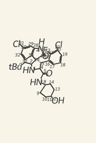 CC(C)(C)CC1NC(C(=O)NC2CCC(O)CC2)C(c2cccc(Cl)c2F)[C@]12C(=O)Nc1cc(Cl)ccc12